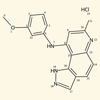 COc1cccc(Nc2cc(C)nc3ccc4cn[nH]c4c23)c1.Cl